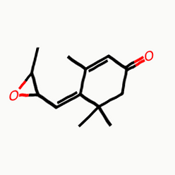 CC1=CC(=O)CC(C)(C)C1=CC1OC1C